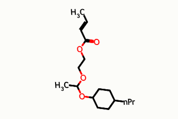 CC=CC(=O)OCCOC(C)OC1CCC(CCC)CC1